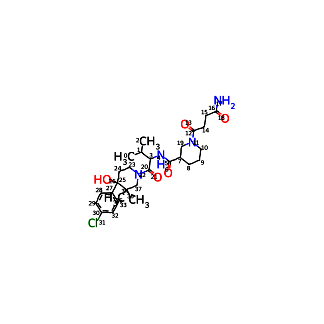 CC(C)C(NC(=O)C1CCCN(C(=O)CCC(N)=O)C1)C(=O)N1CCC(O)(c2ccc(Cl)cc2)C(C)(C)C1